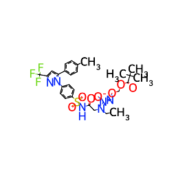 CCN(CC(=O)NS(=O)(=O)c1ccc(-n2nc(C(F)(F)F)cc2-c2ccc(C)cc2)cc1)/[N+]([O-])=N/OCOC(=O)C(C)(C)C